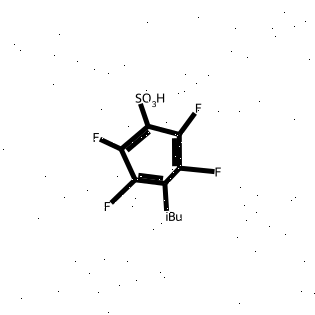 CCC(C)c1c(F)c(F)c(S(=O)(=O)O)c(F)c1F